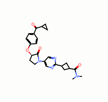 CN(C)C(=O)C1CC(c2ncc(N3CC[C@@H](Oc4ccc(C(=O)C5CC5)cc4)C3=O)cn2)C1